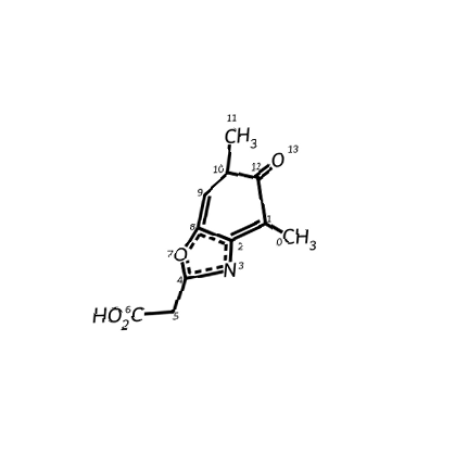 CC1=c2nc(CC(=O)O)oc2=CC(C)C1=O